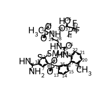 CSc1sc(C(=N)N)cc1S(=O)(=O)c1cccc(-c2c(C)cccc2NC(=O)NCCNS(C)(=O)=O)c1.O=C(O)C(F)(F)F